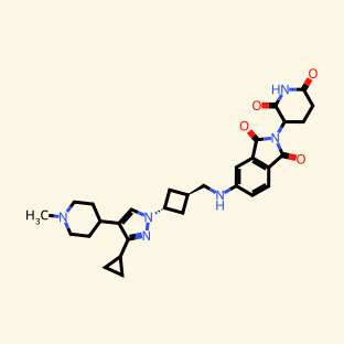 CN1CCC(c2cn([C@H]3C[C@H](CNc4ccc5c(c4)C(=O)N(C4CCC(=O)NC4=O)C5=O)C3)nc2C2CC2)CC1